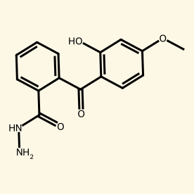 COc1ccc(C(=O)c2ccccc2C(=O)NN)c(O)c1